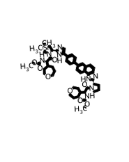 COC(=O)N[C@H](C(=O)N1C[Si](C)(C)C[C@H]1c1ncc(-c2ccc(-c3ccc4c(ccc5nc([C@@H]6CCCN6C(=O)[C@@H](NC(=O)OC)C6CCCOCC6)[nH]c54)c3)cc2)[nH]1)C1CCCOCC1